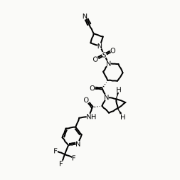 N#CC1CN(S(=O)(=O)N2CCC[C@H](C(=O)N3[C@@H](C(=O)NCc4ccc(C(F)(F)F)nc4)C[C@H]4C[C@H]43)C2)C1